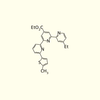 CCOC(=O)c1cc(-c2cc(CC)ccn2)nc(-c2cccc(-c3ccc(C)s3)n2)c1